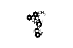 Cc1ccc(-c2ccccc2)c(C(=O)N2C[C@H]3CCN(c4cnc5cccc(F)c5n4)C[C@H]32)c1F